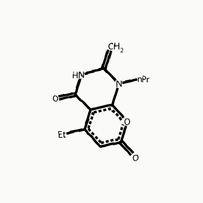 C=C1NC(=O)c2c(CC)cc(=O)oc2N1CCC